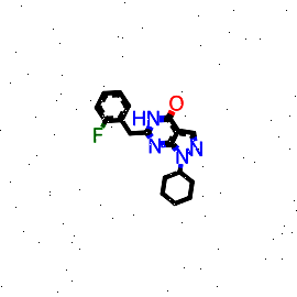 O=c1[nH]c(Cc2ccccc2F)nc2c1cnn2C1CCCCC1